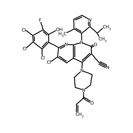 C=CC(=O)N1CCN(c2c(C#N)c(=O)n(-c3c(C)ccnc3C(C)C)c3nc(-c4c(O)c(F)c(Cl)c(Cl)c4Cl)c(Cl)cc23)CC1